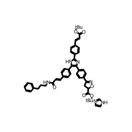 CC(C)(C)OC(=O)C=Cc1ccc(-c2nc(-c3ccc(C4=NOC(C(=O)OC(C)(C)C)C4)cc3)c(-c3ccc(C=CC(=O)NCCCc4ccccc4)cc3)[nH]2)cc1.c1c[nH]cn1